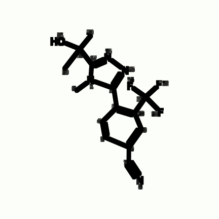 Cn1c(-c2ccc(C#N)cc2C(F)(F)F)nnc1C(C)(C)O